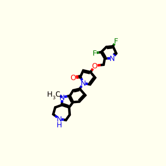 Cn1c2c(c3ccc(-n4ccc(OCc5ncc(F)cc5F)cc4=O)cc31)CCNCC2